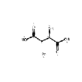 O=C(O)CC(O)C(=O)O.[Pr]